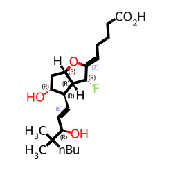 CCCCC(C)(C)[C@H](O)/C=C/[C@@H]1[C@@H]2[C@H](C[C@H]1O)O/C(=C\CCCC(=O)O)[C@@H]2F